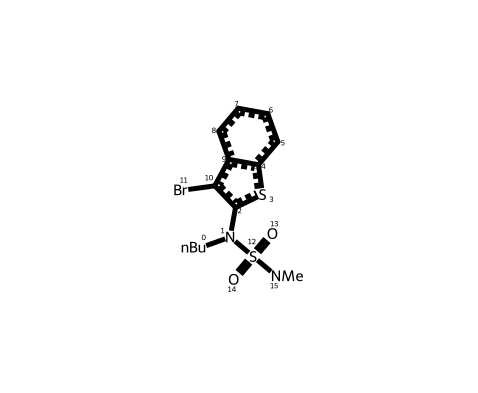 CCCCN(c1sc2ccccc2c1Br)S(=O)(=O)NC